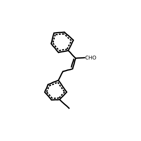 Cc1cccc(C/C=C(/C=O)c2ccccc2)c1